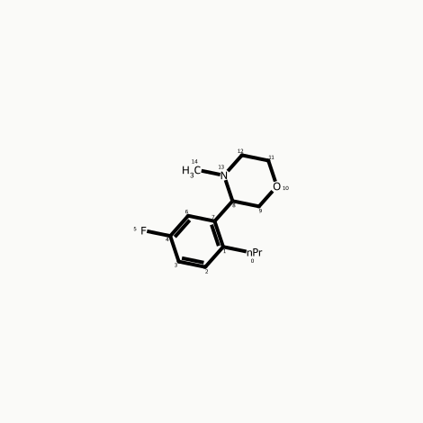 CCCc1ccc(F)cc1C1COCCN1C